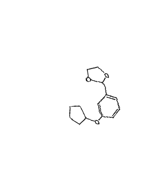 c1cc(OC2CCCC2)cc(C2OCCO2)c1